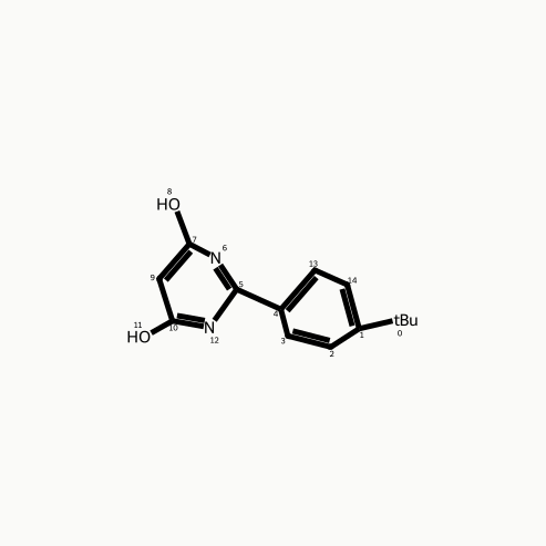 CC(C)(C)c1ccc(-c2nc(O)cc(O)n2)cc1